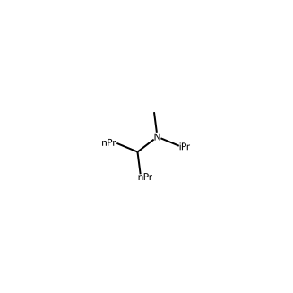 CCCC(CCC)N(C)C(C)C